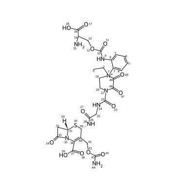 CC[N+]1(c2ccccc2NC(=O)OCC(N)C(=O)O)CCN(C(=O)NCC(=O)N[C@H]2S[C@H]3CC(=O)N3C(C(=O)O)=C2COC(N)=O)C(=O)C1=O